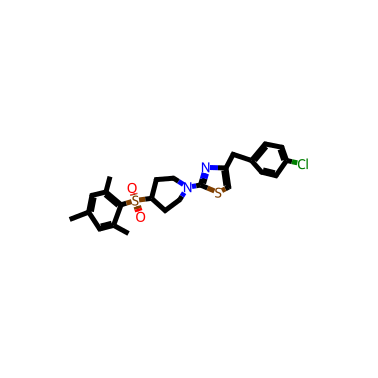 Cc1cc(C)c(S(=O)(=O)C2CCN(c3nc(Cc4ccc(Cl)cc4)cs3)CC2)c(C)c1